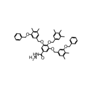 Cc1cc(COc2c(OCc3cc(C)c(C)c(OCc4ccccc4)c3)cc(C(=O)NN)cc2OCc2cc(C)c(C)c(OCc3ccccc3)c2)cc(C)c1C